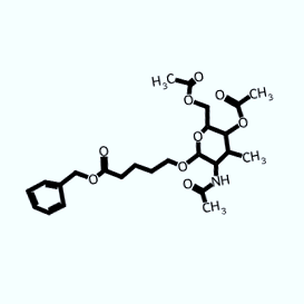 CC(=O)NC1C(OCCCCC(=O)OCc2ccccc2)OC(COC(C)=O)C(OC(C)=O)C1C